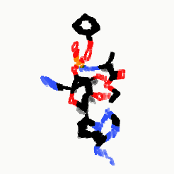 CCOC(=O)[C@H](C)NP(=O)(Oc1ccccc1)OC1[C@@]2(C#N)O[C@@H](c3ccc4c(N)ncnn34)[C@H](O)[C@@]12O